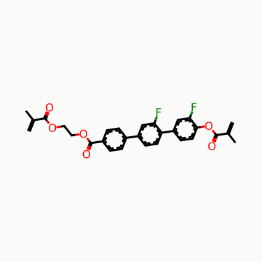 C=C(C)C(=O)OCCOC(=O)c1ccc(-c2ccc(-c3ccc(OC(=O)C(=C)C)c(F)c3)c(F)c2)cc1